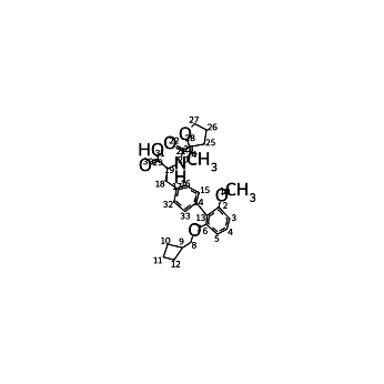 COc1cccc(OCC2CCC2)c1-c1ccc(C[C@H](NC(=O)[C@@]2(C)CCCO2)C(=O)O)cc1